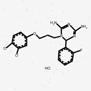 Cl.NC1=NC(c2ccccc2F)N(CCCOc2ccc(Cl)c(Cl)c2)C(N)=N1